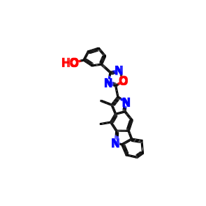 CC1=C(c2nc(-c3cccc(O)c3)no2)N=c2cc3c(c(C)c21)=Nc1ccccc1-3